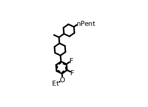 CCCCCC1CCC(C(C)C2CCC(c3ccc(OCC)c(F)c3F)CC2)CC1